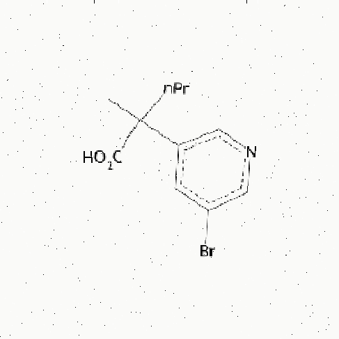 CCCC(C)(C(=O)O)c1cncc(Br)c1